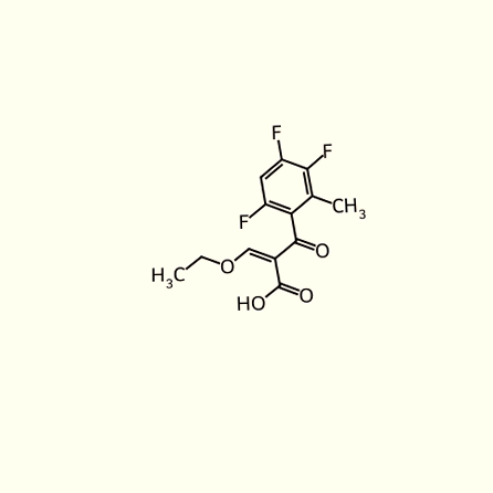 CCOC=C(C(=O)O)C(=O)c1c(F)cc(F)c(F)c1C